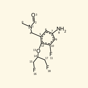 CN(C=O)Cc1cc(N)cc(F)c1OC(CF)CF